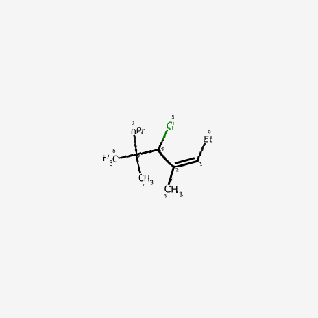 CC/C=C(/C)C(Cl)C(C)(C)CCC